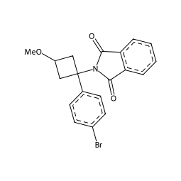 COC1CC(c2ccc(Br)cc2)(N2C(=O)c3ccccc3C2=O)C1